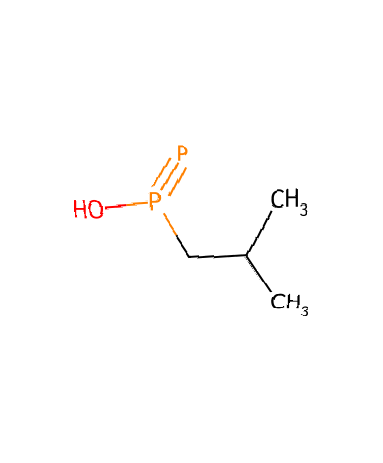 CC(C)CP(O)#P